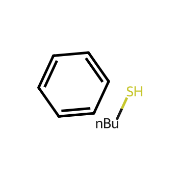 CCCCS.c1ccccc1